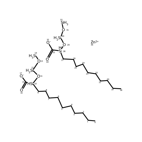 CCCCCCCCCC[SiH](O[SiH2]O[SiH3])C(=O)[O-].CCCCCCCCCC[SiH](O[SiH2]O[SiH3])C(=O)[O-].[Zn+2]